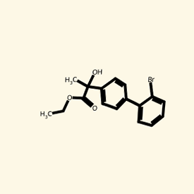 CCOC(=O)C(C)(O)c1ccc(-c2ccccc2Br)cc1